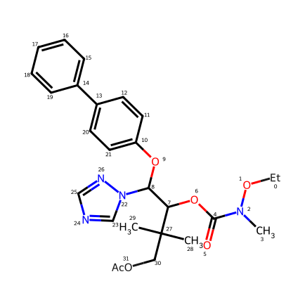 CCON(C)C(=O)OC(C(Oc1ccc(-c2ccccc2)cc1)n1cncn1)C(C)(C)COC(C)=O